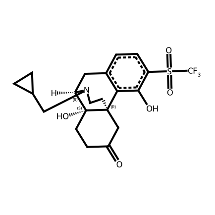 O=C1CC[C@@]2(O)[C@H]3Cc4ccc(S(=O)(=O)C(F)(F)F)c(O)c4[C@@]2(CCN3CC2CC2)C1